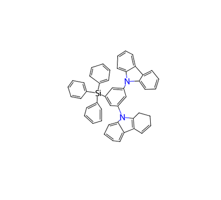 C1=Cc2c(n(-c3cc(-n4c5ccccc5c5ccccc54)cc([Si](c4ccccc4)(c4ccccc4)c4ccccc4)c3)c3ccccc23)CC1